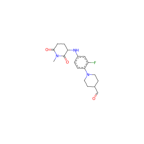 CN1C(=O)CCC(Nc2ccc(N3CCC(C=O)CC3)c(F)c2)C1=O